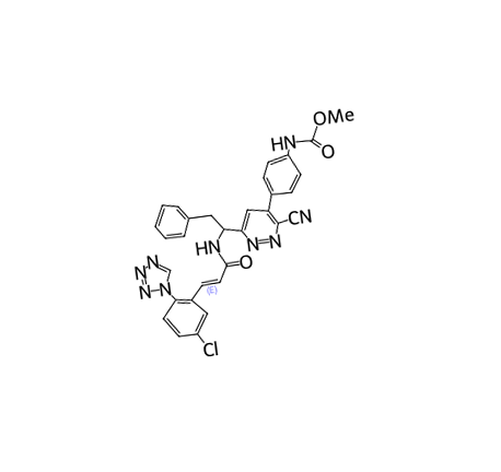 COC(=O)Nc1ccc(-c2cc(C(Cc3ccccc3)NC(=O)/C=C/c3cc(Cl)ccc3-n3cnnn3)nnc2C#N)cc1